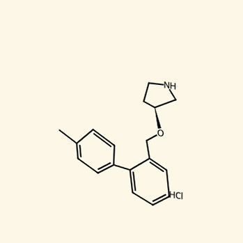 Cc1ccc(-c2ccccc2CO[C@H]2CCNC2)cc1.Cl